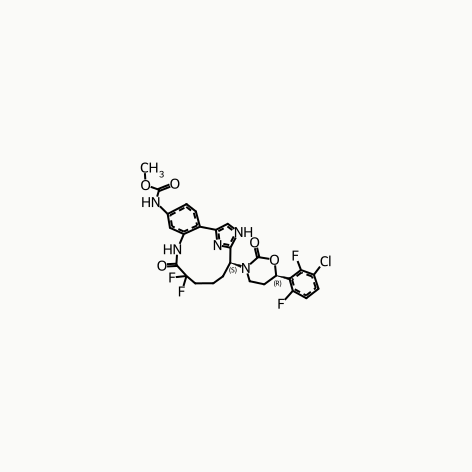 COC(=O)Nc1ccc2c(c1)NC(=O)C(F)(F)CCC[C@H](N1CC[C@H](c3c(F)ccc(Cl)c3F)OC1=O)c1nc-2c[nH]1